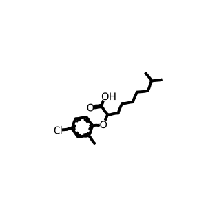 Cc1cc(Cl)ccc1OC(CCCCCC(C)C)C(=O)O